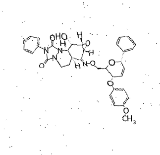 COc1ccc(O[C@H]2C=C[C@@H](c3ccccc3)O[C@@H]2CO/N=C2/[C@H]3CCn4c(=O)n(-c5ccccc5)c(=O)n4[C@H]3[C@H](O)[C@@H]3O[C@H]23)cc1